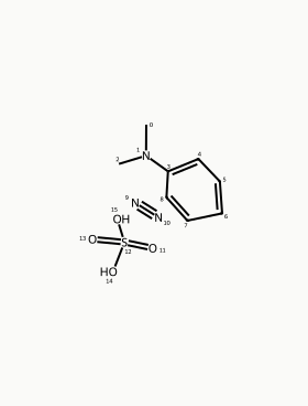 CN(C)c1ccccc1.N#N.O=S(=O)(O)O